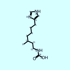 CC(CCCCc1c[nH]cn1)CCNC(=O)O